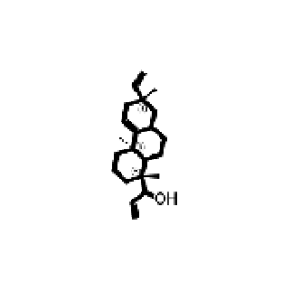 C=CC(O)[C@]1(C)CCC[C@@]2(C)C3=CC[C@](C)(C=C)CC3CCC12